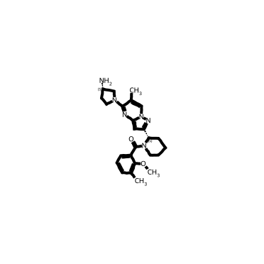 COc1c(C)cccc1C(=O)N1CCCC[C@H]1c1cc2nc(N3CC[C@H](N)C3)c(C)cn2n1